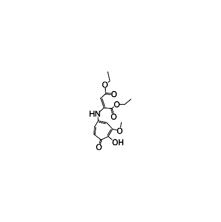 CCOC(=O)C=C(Nc1ccc(=O)c(O)c(OC)c1)C(=O)OCC